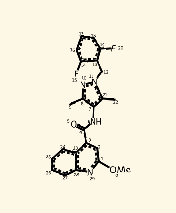 COc1cc(C(=O)Nc2c(C)nn(Cc3c(F)cccc3F)c2C)c2ccccc2n1